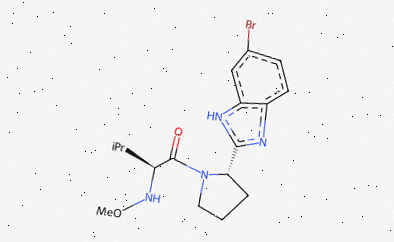 CON[C@H](C(=O)N1CCC[C@H]1c1nc2ccc(Br)cc2[nH]1)C(C)C